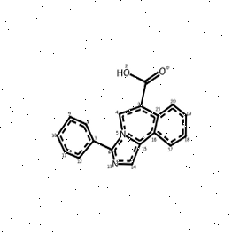 O=C(O)c1cn2c(-c3ccccc3)ncc2c2ccccc12